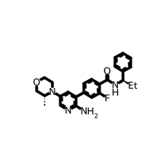 CC[C@@H](NC(=O)c1ccc(-c2cc(N3CCOC[C@H]3C)cnc2N)cc1F)c1ccccc1